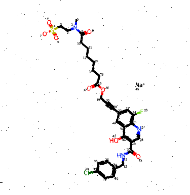 CN(CCS(=O)(=O)[O-])C(=O)CCCCCCC(=O)OCC#Cc1cc(F)c2ncc(C(=O)NCc3ccc(Cl)cc3)c(O)c2c1.[Na+]